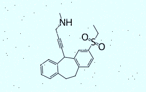 CCS(=O)(=O)c1ccc2c(c1)C(C#CCNC)c1ccccc1CC2